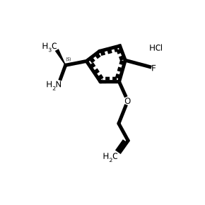 C=CCOc1cc([C@H](C)N)ccc1F.Cl